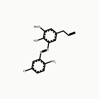 C=CCc1cc(/N=N/c2cc(Cl)ccc2[N+](=O)[O-])c(O)c(OC)c1